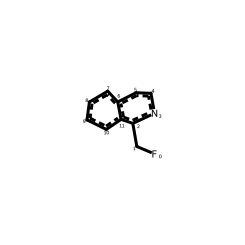 FCc1nccc2ccccc12